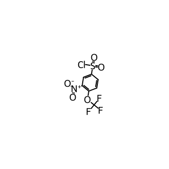 O=[N+]([O-])c1cc(S(=O)(=O)Cl)ccc1OC(F)(F)F